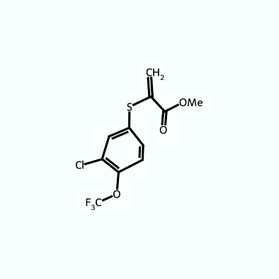 C=C(Sc1ccc(OC(F)(F)F)c(Cl)c1)C(=O)OC